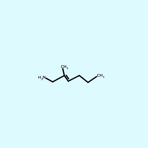 CCC/C=C(\C)CN